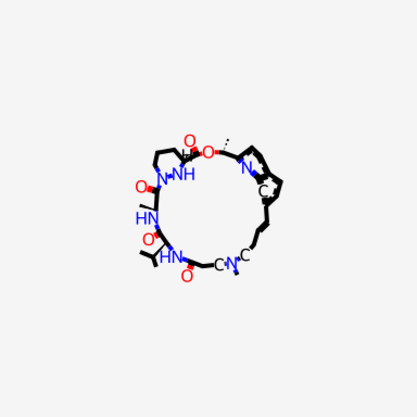 CC(C)[C@@H]1NC(=O)CCN(C)CC/C=C/c2ccc3ccc(nc3c2)[C@@H](C)OC(=O)[C@@H]2CCCN(N2)C(=O)[C@H](C)NC1=O